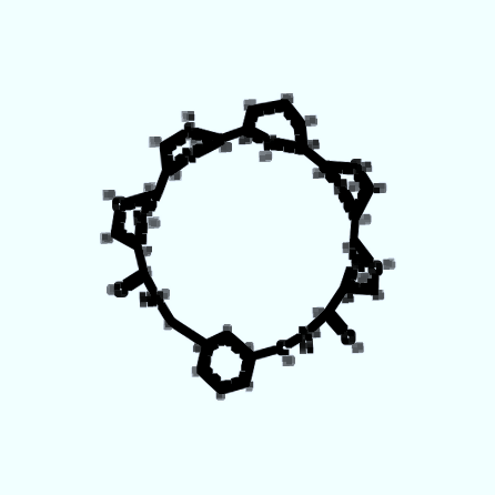 O=C1NCc2cccc(c2)CNC(=O)c2coc(n2)-c2csc(n2)-c2cccc(n2)-c2nc(cs2)-c2nc1co2